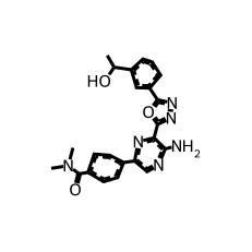 CC(O)c1cccc(-c2nnc(-c3nc(-c4ccc(C(=O)N(C)C)cc4)cnc3N)o2)c1